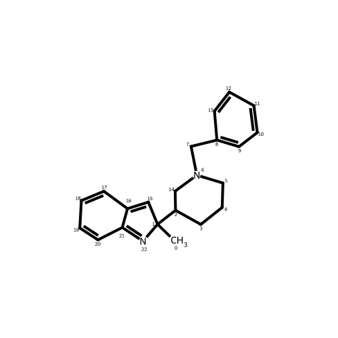 CC1(C2CCCN(Cc3ccccc3)C2)C=c2ccccc2=N1